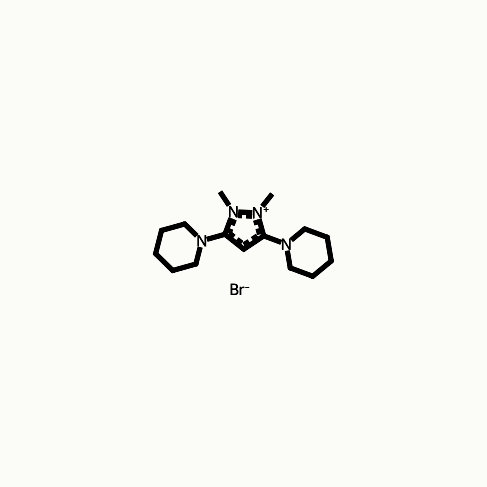 Cn1c(N2CCCCC2)cc(N2CCCCC2)[n+]1C.[Br-]